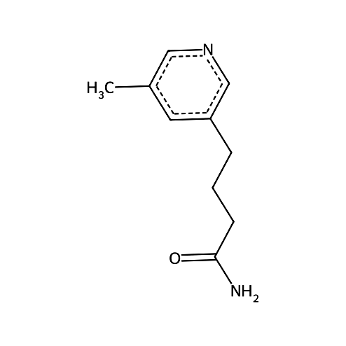 Cc1cncc(CCCC(N)=O)c1